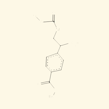 CC(C)(C)OC(=O)NCC(C(=O)O)c1ccc(C(=O)OC(C)(C)C)cc1